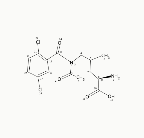 CC(=O)N(CC(C)C[C@@H](N)C(=O)O)C(=O)c1cc(Cl)ccc1Cl